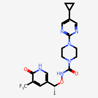 C[C@@H](ONC(=O)N1CCN(c2ncc(C3CC3)cn2)CC1)c1c[nH]c(=O)c(C(F)(F)F)c1